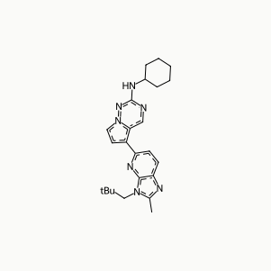 Cc1nc2ccc(-c3ccn4nc(NC5CCCCC5)ncc34)nc2n1CC(C)(C)C